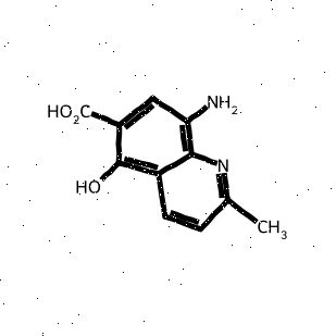 Cc1ccc2c(O)c(C(=O)O)cc(N)c2n1